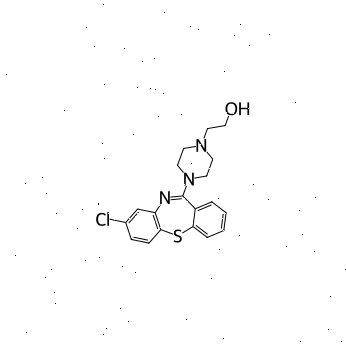 OCCN1CCN(C2=Nc3cc(Cl)ccc3Sc3ccccc32)CC1